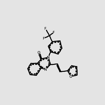 O=c1c2ccccc2nc(C=Cc2ccco2)n1-c1cccc(C(F)(F)F)c1